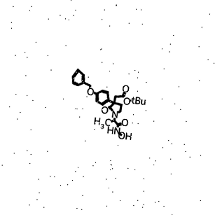 CC(C(=O)NO)N1CCC(CC(=O)OC(C)(C)C)(c2ccc(OCc3ccccc3)cc2)C1=O